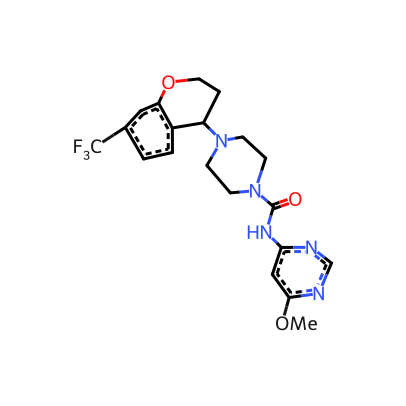 COc1cc(NC(=O)N2CCN(C3CCOc4cc(C(F)(F)F)ccc43)CC2)ncn1